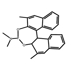 CC1=Cc2ccccc2C2c3c(c(C)cc4ccccc34)OP(N(C)C)OC12